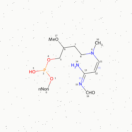 CCCCCCCCCOP(O)OCC(CCN(C)/C=C\C(N)=N/C=O)OC